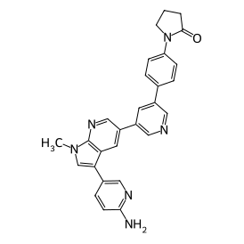 Cn1cc(-c2ccc(N)nc2)c2cc(-c3cncc(-c4ccc(N5CCCC5=O)cc4)c3)cnc21